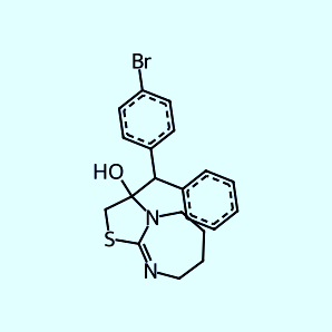 OC1(C(c2ccccc2)c2ccc(Br)cc2)CSC2=NCCCCN21